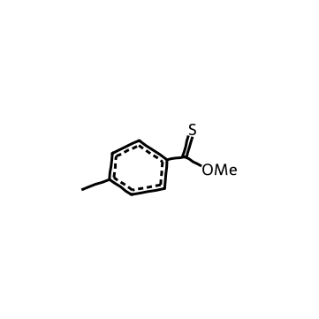 COC(=S)c1ccc(C)cc1